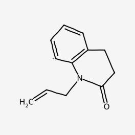 C=CCN1C(=O)CCc2ccc[c]c21